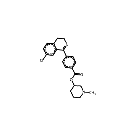 CN1CCCC(OC(=O)c2ccc(C3=NCCc4ccc(Cl)cc43)cc2)C1